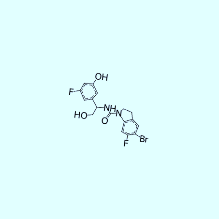 O=C(NC(CO)c1cc(O)cc(F)c1)N1CCc2cc(Br)c(F)cc21